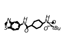 CC(C)(C)S(=O)(=O)NC1CCC(C(=O)Nc2ccc3scnc3c2)CC1